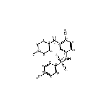 CN1CCC(Nc2cc(NS(=O)(=O)c3ccc(F)cc3)ccc2Cl)CC1